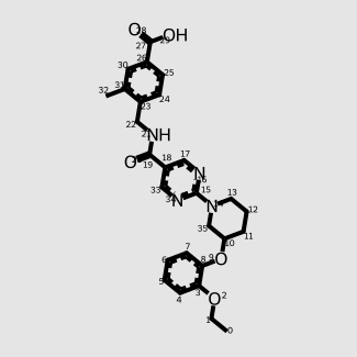 CCOc1ccccc1OC1CCCN(c2ncc(C(=O)NCc3ccc(C(=O)O)cc3C)cn2)C1